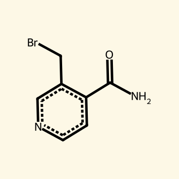 NC(=O)c1ccncc1CBr